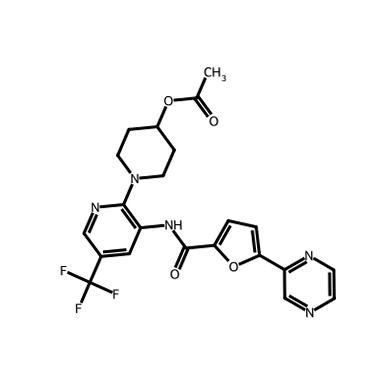 CC(=O)OC1CCN(c2ncc(C(F)(F)F)cc2NC(=O)c2ccc(-c3cnccn3)o2)CC1